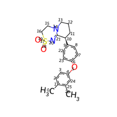 Cc1ccc(Oc2ccc([C@@H]3CCCN4CCS(=O)(=O)N=C34)cc2)cc1C